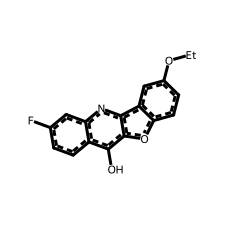 CCOc1ccc2oc3c(O)c4ccc(F)cc4nc3c2c1